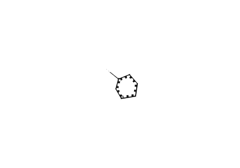 O=[N+]([O-])c1ccccc1.[Li+]